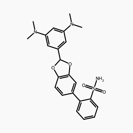 CN(C)c1cc(C2Oc3ccc(-c4ccccc4S(N)(=O)=O)cc3O2)cc(N(C)C)c1